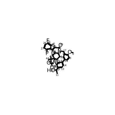 COc1ccc(-c2ccc(C(C)O)cc2)cc1CN(C(=O)c1sc2c(F)ccc(F)c2c1Cl)C1CCC(NC(=O)O)(C(C)(C)C)CC1